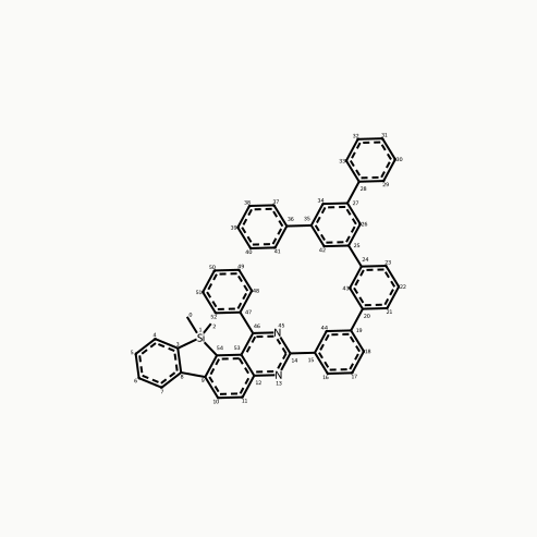 C[Si]1(C)c2ccccc2-c2ccc3nc(-c4cccc(-c5cccc(-c6cc(-c7ccccc7)cc(-c7ccccc7)c6)c5)c4)nc(-c4ccccc4)c3c21